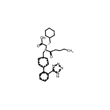 CCCCC(=O)N(Cc1ccc(-c2ccccc2-c2nnn[nH]2)cc1)[C@@H](CC1CCCCC1)C(=O)O